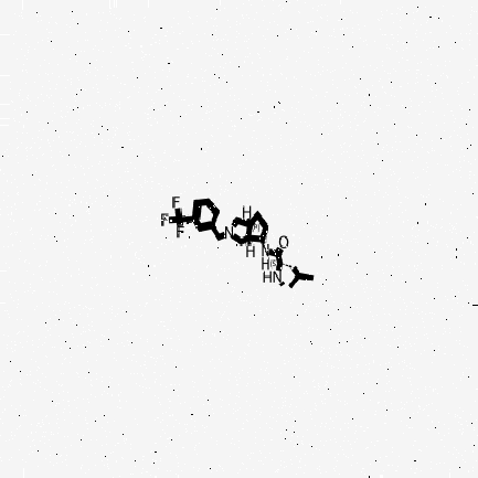 CN[C@@H](CC(C)C)C(=O)N[C@@H]1CC[C@H]2CN(Cc3cccc(C(F)(F)F)c3)C[C@H]21